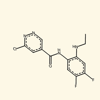 CCNc1cc(F)c(F)cc1NC(=O)c1cnnc(Cl)c1